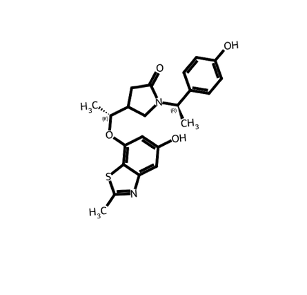 Cc1nc2cc(O)cc(O[C@H](C)C3CC(=O)N([C@H](C)c4ccc(O)cc4)C3)c2s1